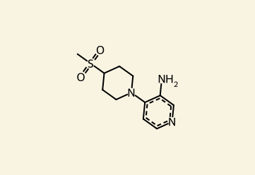 CS(=O)(=O)C1CCN(c2ccncc2N)CC1